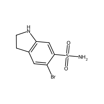 NS(=O)(=O)c1cc2c(cc1Br)CCN2